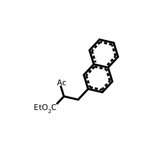 CCOC(=O)C(Cc1ccc2ccccc2c1)C(C)=O